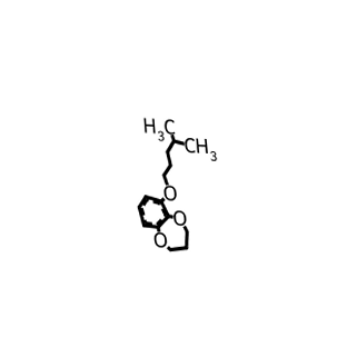 CC(C)CCCOc1cccc2c1OCCCO2